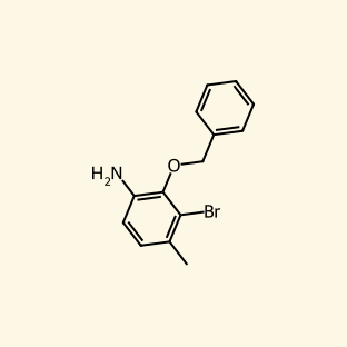 Cc1ccc(N)c(OCc2ccccc2)c1Br